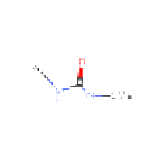 CSNC(=O)NC(C)C